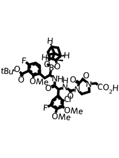 COc1c(F)cc(C(NC(=O)N2CCN(CC(=O)O)C(=O)C2=O)C(=O)NC(Cc2ccc(F)c(C(=O)OC(C)(C)C)c2OC)B2O[C@@H]3C[C@@H]4C[C@@H](C4(C)C)[C@]3(C)O2)c(Cl)c1OC